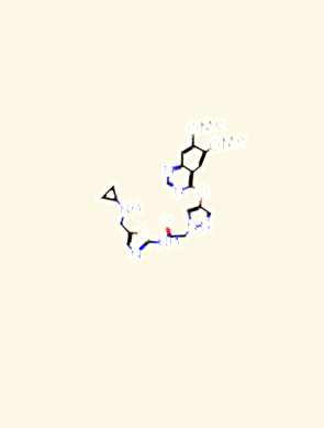 COc1cc2ncnc(Oc3cnn(CC(=O)Nc4ncc(CNC5CC5)s4)c3)c2cc1OC